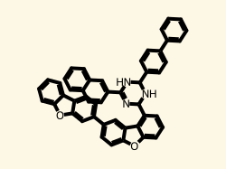 c1ccc(-c2ccc(C3NC(c4ccc5ccccc5c4)=NC(c4cccc5oc6ccc(-c7ccc8c(c7)oc7ccccc78)cc6c45)N3)cc2)cc1